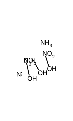 N.O=[N+]([O-])O.O=[N+]([O-])O.O=[N+]([O-])O.[N]